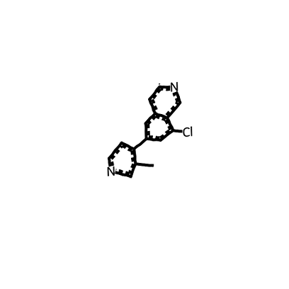 Cc1cnccc1-c1cc(Cl)c2cn[c]cc2c1